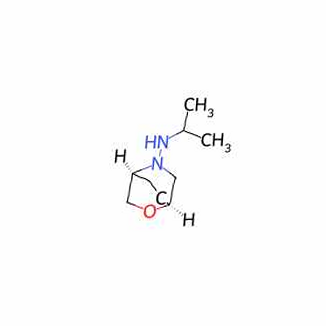 CC(C)NN1C[C@@H]2CC[C@H]1CO2